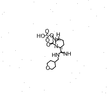 N=C(NCC1CCOCC1)[C@@H]1CC[C@@H]2CN1C(=O)N2OS(=O)(=O)O